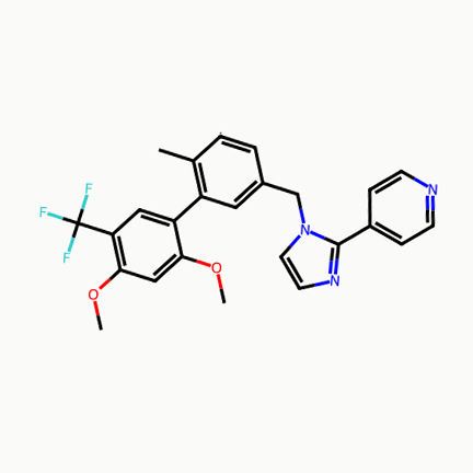 COc1cc(OC)c(C(F)(F)F)cc1-c1cc(Cn2ccnc2-c2ccncc2)c[c]c1C